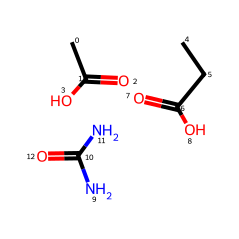 CC(=O)O.CCC(=O)O.NC(N)=O